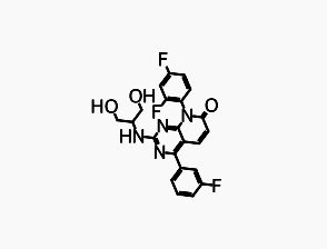 O=c1ccc2c(-c3cccc(F)c3)nc(NC(CO)CO)nc2n1-c1ccc(F)cc1F